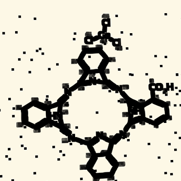 O=C(O)c1cccc2c3nc4nc(nc5[nH]c(nc6nc(nc([nH]3)c12)-c1ccccc1-6)c1ccccc51)-c1ccccc1-4.[Cl][Ga]([Cl])[Cl]